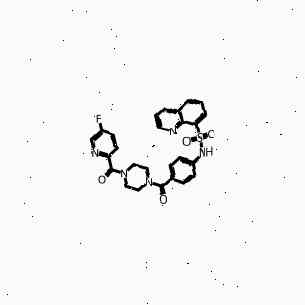 O=C(c1ccc(NS(=O)(=O)c2cccc3cccnc23)cc1)N1CCN(C(=O)c2ccc(F)cn2)CC1